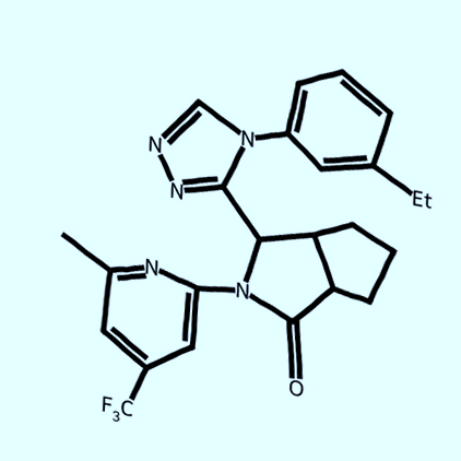 CCc1cccc(-n2cnnc2C2C3CCCC3C(=O)N2c2cc(C(F)(F)F)cc(C)n2)c1